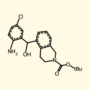 CC(C)(C)OC(=O)N1CCc2c(cccc2C(O)c2cc(Cl)ccc2N)C1